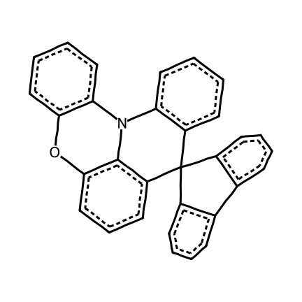 c1ccc2c(c1)Oc1cccc3c1N2c1ccccc1C31c2ccccc2-c2ccccc21